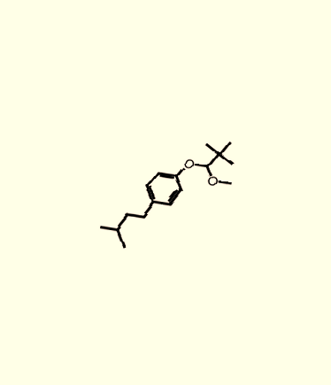 COC(Oc1ccc(CCC(C)C)cc1)C(C)(C)C